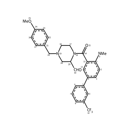 CNc1ccc(-c2cccc(C(F)(F)F)c2)cc1C(=O)N1CCN(Cc2ccc(OC)cc2)CC1C=O